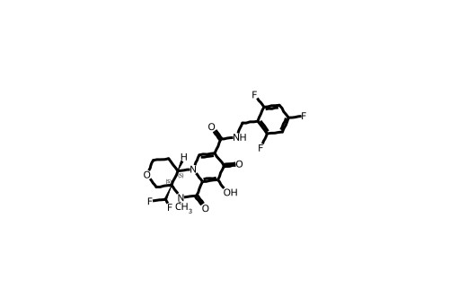 CN1C(=O)c2c(O)c(=O)c(C(=O)NCc3c(F)cc(F)cc3F)cn2[C@H]2CCOC[C@]21C(F)F